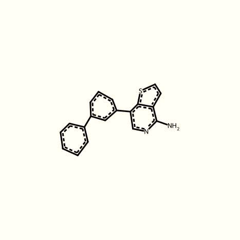 Nc1ncc(-c2cccc(-c3ccccc3)c2)c2sccc12